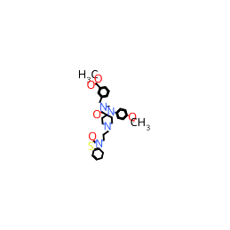 COC(=O)c1cccc(CN2CN(c3ccc(OC)cc3)C3(CCN(CCCn4c5c(sc4=O)C=CCC5)CC3)C2=O)c1